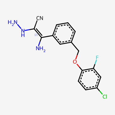 N#C/C(NN)=C(/N)c1cccc(COc2ccc(Cl)cc2F)c1